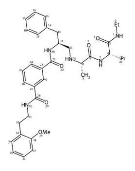 CCNC(=O)[C@@H](NC(=O)[C@H](C)NC[C@H](Cc1ccccc1)NC(=O)c1cccc(C(=O)NCCc2ccccc2OC)c1)C(C)C